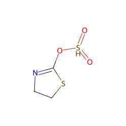 O=[SH](=O)OC1=NCCS1